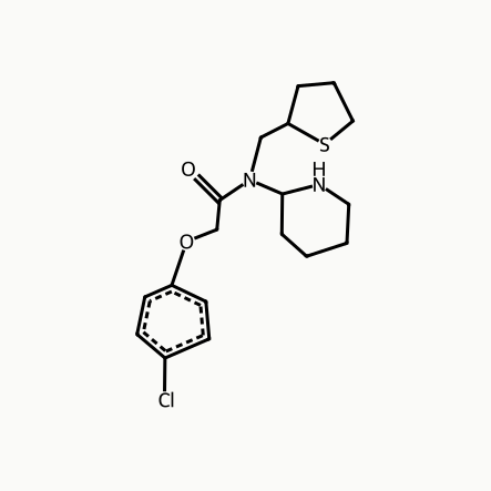 O=C(COc1ccc(Cl)cc1)N(CC1CCCS1)C1CCCCN1